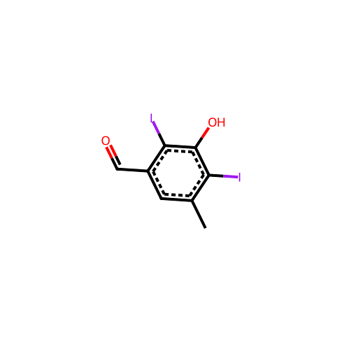 Cc1cc(C=O)c(I)c(O)c1I